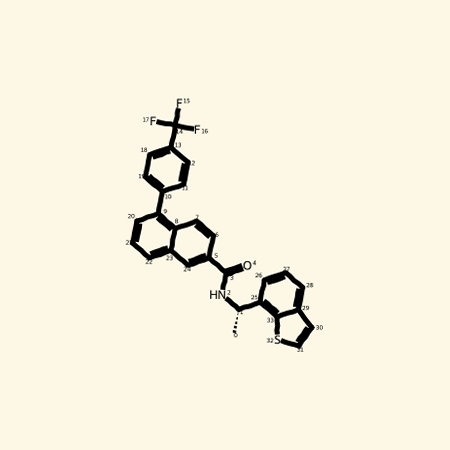 C[C@H](NC(=O)c1ccc2c(-c3ccc(C(F)(F)F)cc3)cccc2c1)c1cccc2ccsc12